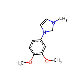 COc1ccc(N2C=CN(C)C2)cc1OC